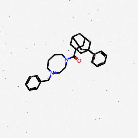 O=C(N1CCCCN(Cc2ccccc2)CC1)C12CC3CC(C1)CC(c1ccccc1)(C3)C2